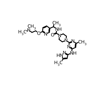 Cc1cc(Nc2cc(C)[nH]n2)nc(N2CCN(C(=O)NC(C)c3ccc(OCCN(C)C)nc3)CC2)n1